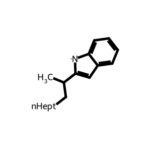 CCCCCCCCC(C)C1=Cc2ccccc2[N]1